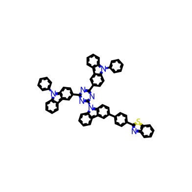 c1ccc(-n2c3ccccc3c3cc(-c4nc(-c5ccc6c(c5)c5ccccc5n6-c5ccccc5)nc(-n5c6ccccc6c6cc(-c7ccc(-c8nc9ccccc9s8)cc7)ccc65)n4)ccc32)cc1